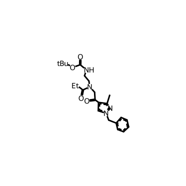 CCC(=O)N(CCNC(=O)OC(C)(C)C)CC(=O)c1cn(Cc2ccccc2)nc1C